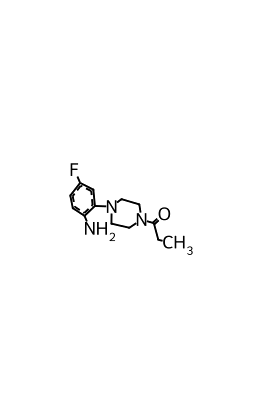 CCC(=O)N1CCN(c2cc(F)ccc2N)CC1